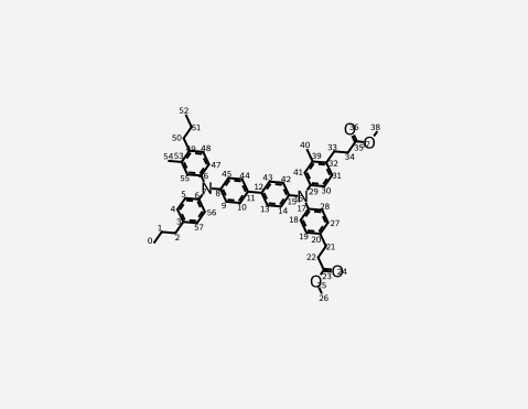 CCCc1ccc(N(c2ccc(-c3ccc(N(c4ccc(CCC(=O)OC)cc4)c4ccc(CCC(=O)OC)c(C)c4)cc3)cc2)c2ccc(CCC)c(C)c2)cc1